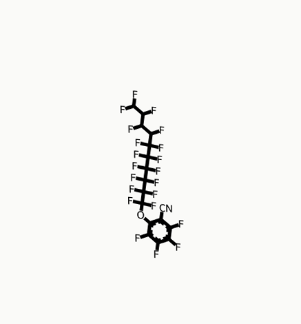 N#Cc1c(F)c(F)c(F)c(F)c1OC(F)(F)C(F)(F)C(F)(F)C(F)(F)C(F)(F)C(F)(F)C(F)C(F)C(F)C(F)F